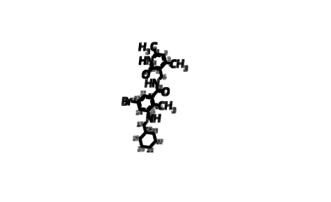 Cc1cc(C)c(CNC(=O)c2cc(Br)cc(NCC3CCCCC3)c2C)c(=O)[nH]1